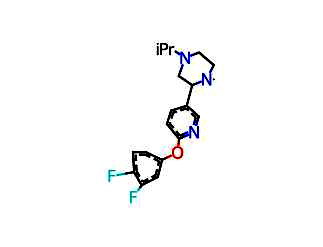 CC(C)N1CC[N]C(c2ccc(Oc3ccc(F)c(F)c3)nc2)C1